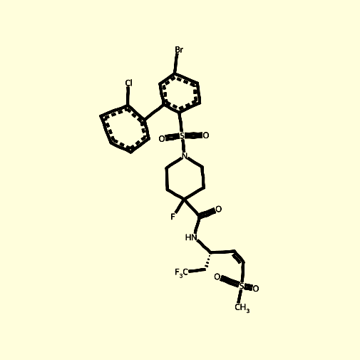 CS(=O)(=O)/C=C\[C@H](CC(F)(F)F)NC(=O)C1(F)CCN(S(=O)(=O)c2ccc(Br)cc2-c2ccccc2Cl)CC1